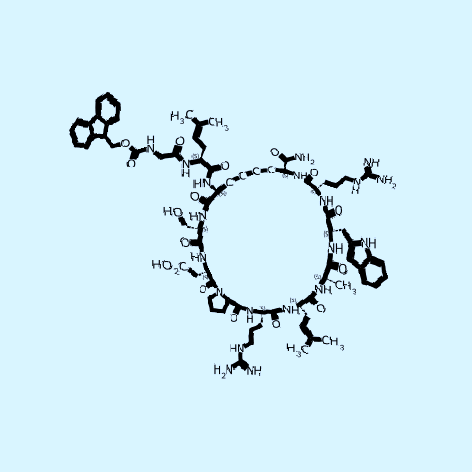 CC(C)=CC[C@H](NC(=O)CNC(=O)OCC1c2ccccc2-c2ccccc21)C(=O)N[C@H]1CCCC[C@@H](C(N)=O)NC(=O)[C@H](CCCNC(=N)N)NC(=O)[C@H](Cc2cc3ccccc3[nH]2)NC(=O)[C@H](C)NC(=O)[C@H](CC=C(C)C)NC(=O)[C@H](CCCNC(=N)N)NC(=O)C2CCCN2C(=O)[C@H](CC(=O)O)NC(=O)[C@H](CO)NC1=O